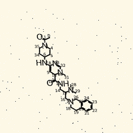 CC(=O)N1CCC(NC2=CC(C(=O)NCC(CN3CCc4ccccc4C3)N(C)C)N(C)C=N2)CC1